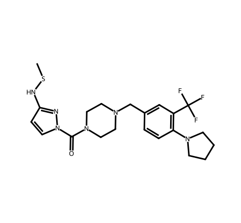 CSNc1ccn(C(=O)N2CCN(Cc3ccc(N4CCCC4)c(C(F)(F)F)c3)CC2)n1